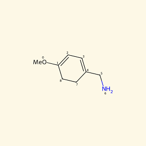 COC1=CC=C(CN)CC1